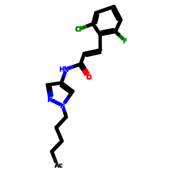 CC(=O)CCCCn1cc(NC(=O)/C=C/c2c(F)cccc2Cl)cn1